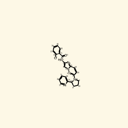 O=C(Nc1cn2nc(N3CCCC3c3ccccn3)ccc2n1)c1ccccc1Cl